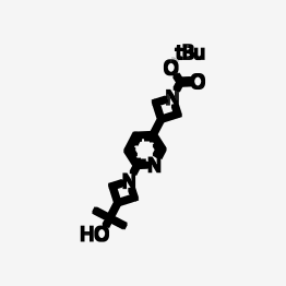 CC(C)(C)OC(=O)N1CC(c2ccc(N3CC(C(C)(C)O)C3)nc2)C1